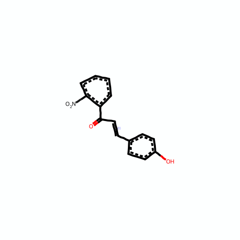 O=C(/C=C/c1ccc(O)cc1)c1ccccc1[N+](=O)[O-]